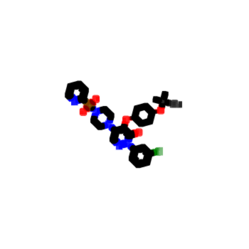 CC(C)(C)[Si](C)(C)O[C@H]1CC[C@@H](Oc2c(N3CCN(S(=O)(=O)c4ccccn4)CC3)cnn(-c3cccc(Cl)c3)c2=O)CC1